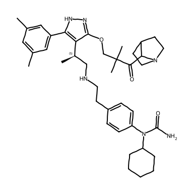 Cc1cc(C)cc(-c2[nH]nc(OCC(C)(C)C(=O)C3C4CCN3CC4)c2[C@H](C)CNCCc2ccc(N(C(N)=O)C3CCCCC3)cc2)c1